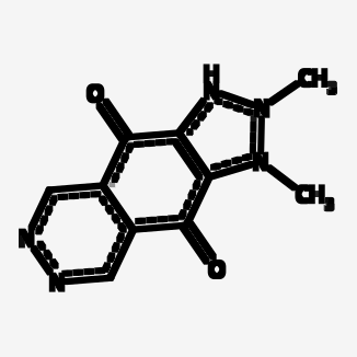 Cn1[nH]c2c(=O)c3cnncc3c(=O)c=2n1C